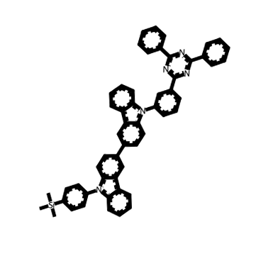 C[Si](C)(C)c1ccc(-n2c3ccccc3c3cc(-c4ccc5c(c4)c4ccccc4n5-c4cccc(-c5nc(-c6ccccc6)nc(-c6ccccc6)n5)c4)ccc32)cc1